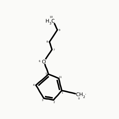 [CH2]c1cccc(OCCCC)c1